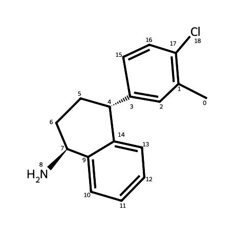 Cc1cc([C@H]2CC[C@H](N)c3ccccc32)ccc1Cl